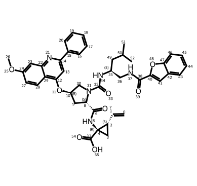 C=C[C@@H]1C[C@]1(NC(=O)[C@@H]1C[C@@H](Oc2cc(-c3ccccc3)nc3cc(OC)ccc23)CN1C(=O)N[C@H](CNC(=O)c1cc2ccccc2o1)CC(C)C)C(=O)O